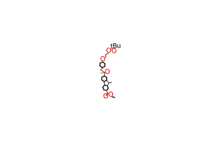 C=COC(=O)c1ccc2c(c1)C(C)c1cc(C(=O)Sc3ccc(OCCCOC(=O)C(C)(C)C)cc3)ccc1-2